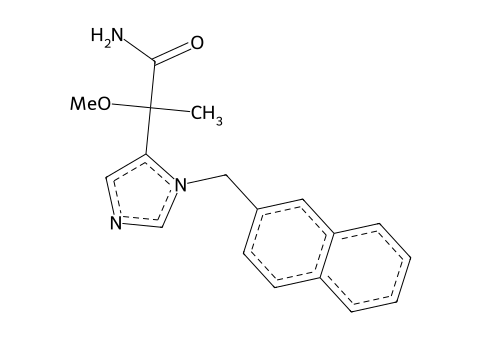 COC(C)(C(N)=O)c1cncn1Cc1ccc2ccccc2c1